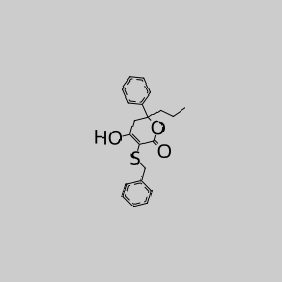 CCCC1(c2ccccc2)CC(O)=C(SCc2ccccc2)C(=O)O1